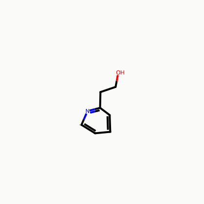 OCCc1ccc[c]n1